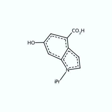 CC(C)n1ccc2c(C(=O)O)cc(O)cc21